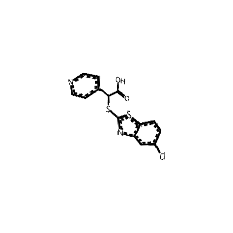 O=C(O)C(Sc1nc2cc(Cl)ccc2s1)c1ccncc1